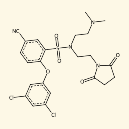 CN(C)CCN(CCN1C(=O)CCC1=O)S(=O)(=O)c1cc(C#N)ccc1Oc1cc(Cl)cc(Cl)c1